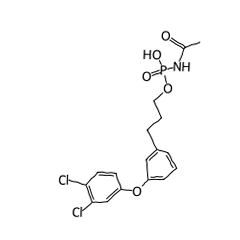 CC(=O)NP(=O)(O)OCCCc1cccc(Oc2ccc(Cl)c(Cl)c2)c1